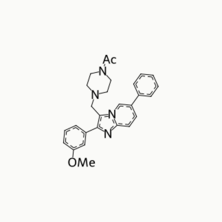 COc1cccc(-c2nc3ccc(-c4ccccc4)cn3c2CN2CCN(C(C)=O)CC2)c1